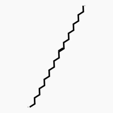 [CH2]CCCCCCCCC=CCCCCCCCCCCC[CH2]